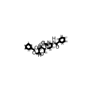 CO[C@@H]1[C@@H]2OC(c3ccccc3)OC[C@H]2OC[C@H]1n1ccc(NC(=O)c2ccccc2)nc1=O